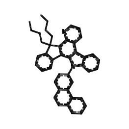 CCCCC1(CCCC)c2ccccc2-c2c1c1ncccc1c1c3ccccc3n(-c3ccc4ccc5ccccc5c4c3)c21